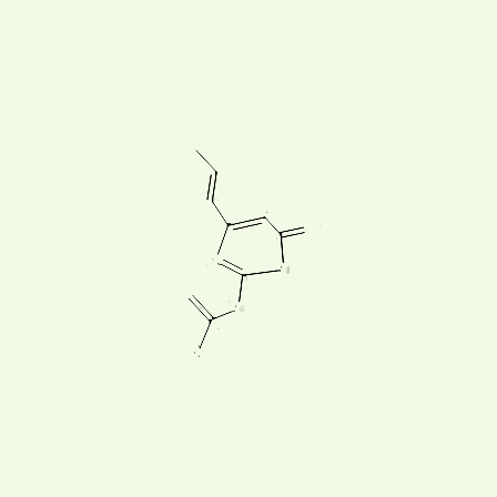 CCCCC=Cc1cc(=O)[nH]c(NC(N)=O)n1